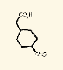 O=CC1CCC(CC(=O)O)CC1